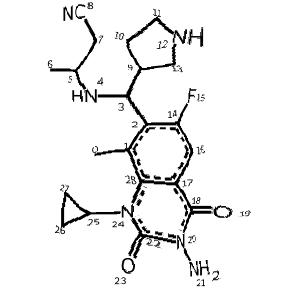 Cc1c(C(NC(C)CC#N)C2CCNC2)c(F)cc2c(=O)n(N)c(=O)n(C3CC3)c12